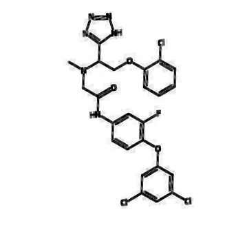 CN(CC(=O)Nc1ccc(Oc2cc(Cl)cc(Cl)c2)c(F)c1)C(COc1ccccc1Cl)c1nnn[nH]1